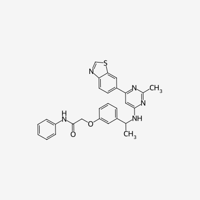 Cc1nc(NC(C)c2cccc(OCC(=O)Nc3ccccc3)c2)cc(-c2ccc3ncsc3c2)n1